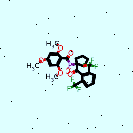 COc1cc(OC)c(C(=O)[P](=O)C2(C(=O)c3c(C(F)(F)F)cccc3C(F)(F)F)CCCC2)c(OC)c1